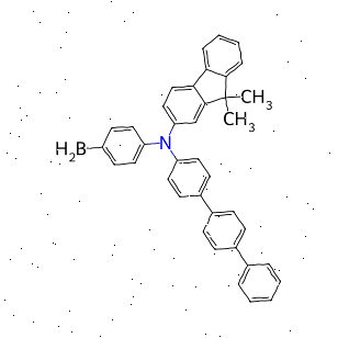 Bc1ccc(N(c2ccc(-c3ccc(-c4ccccc4)cc3)cc2)c2ccc3c(c2)C(C)(C)c2ccccc2-3)cc1